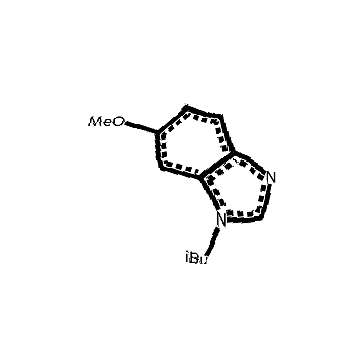 CCC(C)n1cnc2ccc(OC)cc21